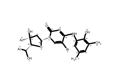 CC(=O)C(O)[C@H]1O[C@@H](n2cc(Br)c(Nc3cc(C)cc(C)c3O)nc2=O)C[C@@]1(O)C(C)=O